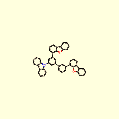 c1cc(-c2cc(-c3cccc4c3oc3ccccc34)cc(-n3c4ccccc4c4ccccc43)c2)cc(-c2cccc3c2oc2ccccc23)c1